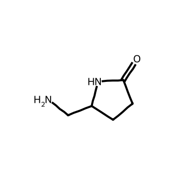 NCC1CCC(=O)N1